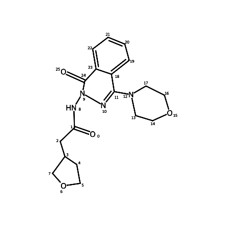 O=C(CC1CCOC1)Nn1nc(N2CCOCC2)c2ccccc2c1=O